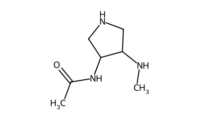 CNC1CNCC1NC(C)=O